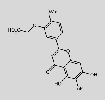 CCCc1c(O)cc2oc(-c3ccc(OC)c(OCC(=O)O)c3)cc(=O)c2c1O